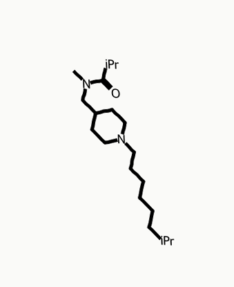 CC(C)CCCCCCN1CCC(CN(C)C(=O)C(C)C)CC1